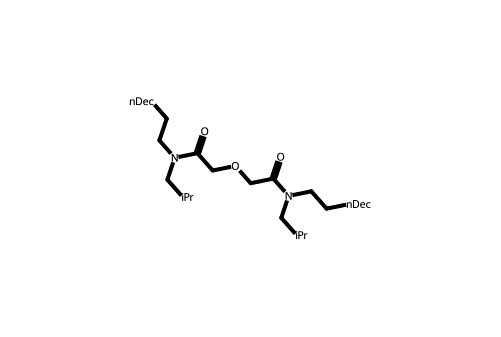 CCCCCCCCCCCCN(CC(C)C)C(=O)COCC(=O)N(CCCCCCCCCCCC)CC(C)C